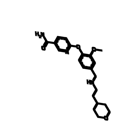 COc1cc(CNCCC2CCOCC2)ccc1Oc1ccc(C(N)=O)cn1